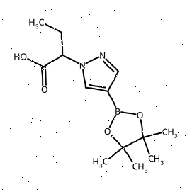 CCC(C(=O)O)n1cc(B2OC(C)(C)C(C)(C)O2)cn1